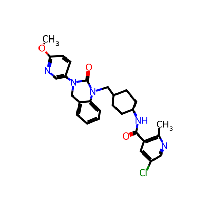 COc1ccc(N2Cc3ccccc3N(CC3CCC(NC(=O)c4cc(Cl)cnc4C)CC3)C2=O)cn1